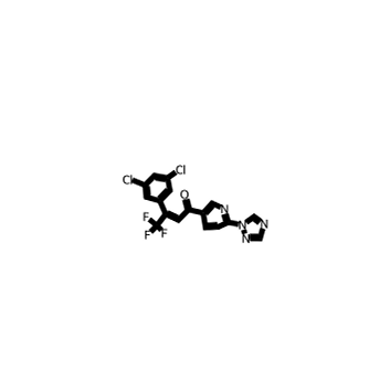 O=C(/C=C(\c1cc(Cl)cc(Cl)c1)C(F)(F)F)c1ccc(-n2cncn2)nc1